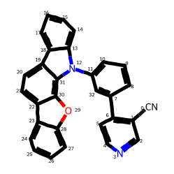 N#Cc1cnccc1-c1cccc(-n2c3ccccc3c3ccc4c5ccccc5oc4c32)c1